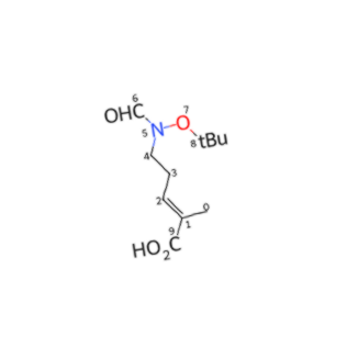 CC(=CCCN(C=O)OC(C)(C)C)C(=O)O